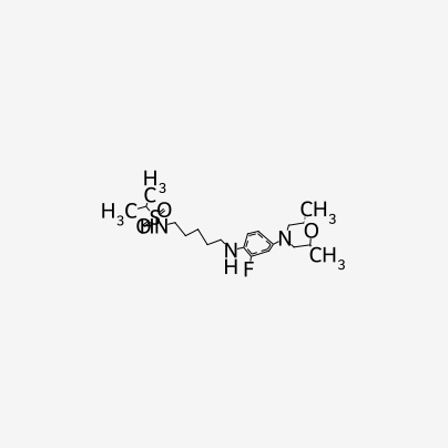 CC(C)S(=O)(=O)NCCCCCNc1ccc(N2C[C@@H](C)O[C@@H](C)C2)cc1F